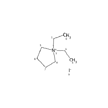 CC[N+]1(CC)CCCC1.[I-]